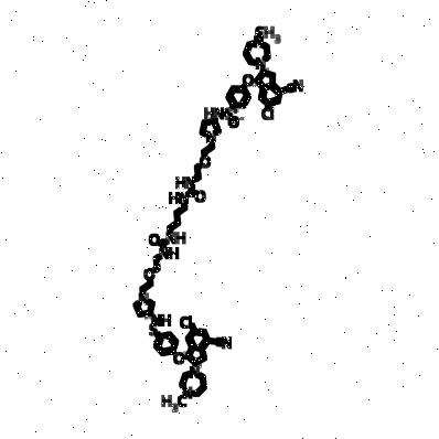 CN1CCCN([C@H]2Cc3c(C#N)cc(Cl)cc3[C@@H]2Oc2ccc(SN[C@@H]3CCN(CCOCCNC(=O)NCCCCNC(=O)NCCOCCN4CC[C@@H](N[S+]([O-])c5ccc(O[C@H]6c7cc(Cl)cc(C#N)c7C[C@@H]6N6CCCN(C)CC6)cc5)C4)C3)cc2)CC1